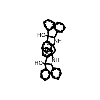 O=C(CC(=O)N[C@H](c1ccccc1)C(O)(c1ccccc1)c1ccccc1)N[C@H](c1ccccc1)C(O)(c1ccccc1)c1ccccc1